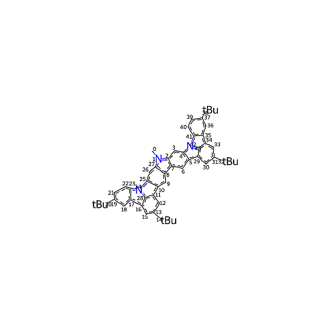 Cn1c2cc3c(cc2c2cc4c5cc(C(C)(C)C)cc6c7cc(C(C)(C)C)ccc7n(c4cc21)c65)c1cc(C(C)(C)C)cc2c4cc(C(C)(C)C)ccc4n3c21